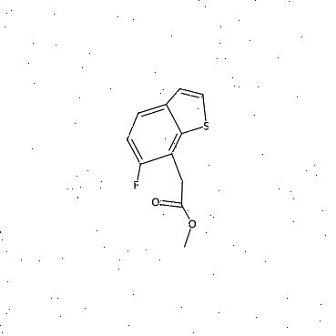 COC(=O)Cc1c(F)ccc2ccsc12